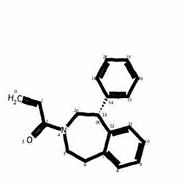 C=CC(=O)N1CCc2ccccc2[C@@H](c2ccccc2)C1